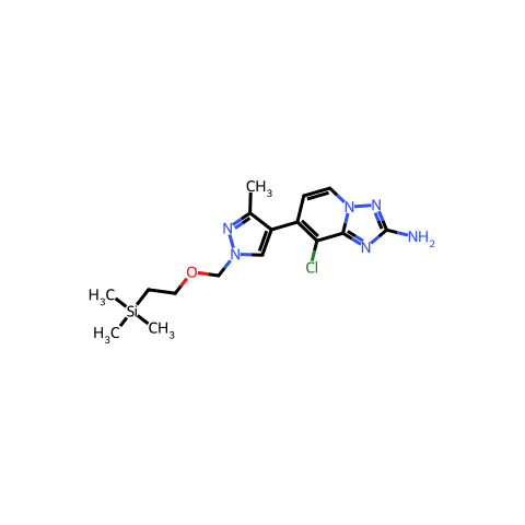 Cc1nn(COCC[Si](C)(C)C)cc1-c1ccn2nc(N)nc2c1Cl